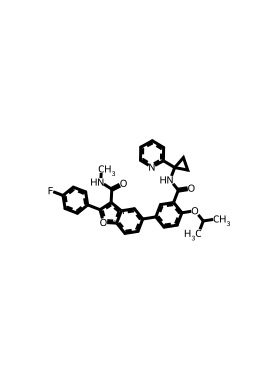 CNC(=O)c1c(-c2ccc(F)cc2)oc2ccc(-c3ccc(OC(C)C)c(C(=O)NC4(c5ccccn5)CC4)c3)cc12